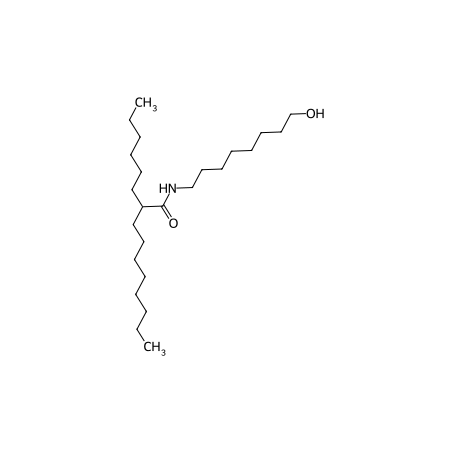 CCCCCCCCC(CCCCCC)C(=O)NCCCCCCCCO